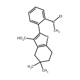 CCN(C)c1ccccc1-c1sc2c(c1C(=O)O)CC(C)(C)CC2